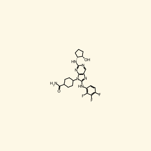 NC(=O)C1CCC(n2c(Nc3ccc(F)c(F)c3F)nc3cnc(N[C@@H]4CCC[C@H]4O)nc32)CC1